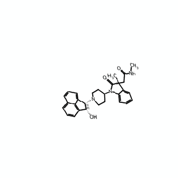 CNC(=O)CC1(C)C(=O)N(C2CCN([C@H]3c4cccc5cccc(c45)[C@H]3O)CC2)c2ccccc21